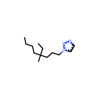 CCCCC(C)(CC)CCCn1ccnn1